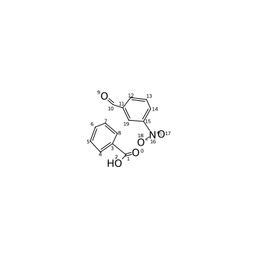 O=C(O)c1ccccc1.O=Cc1cccc([N+](=O)[O-])c1